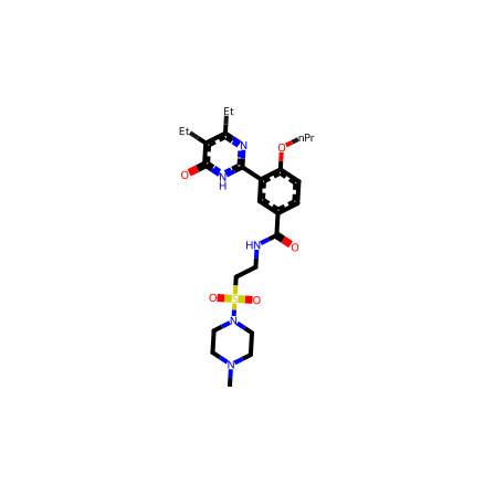 CCCOc1ccc(C(=O)NCCS(=O)(=O)N2CCN(C)CC2)cc1-c1nc(CC)c(CC)c(=O)[nH]1